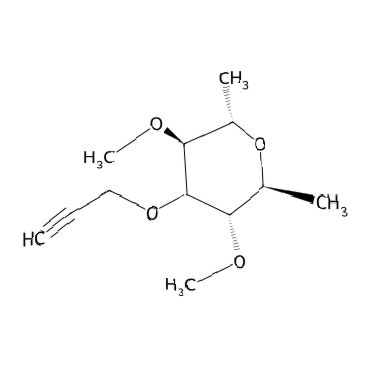 C#CCOC1[C@@H](OC)[C@H](C)O[C@@H](C)[C@@H]1OC